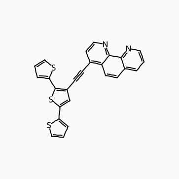 C(#Cc1ccnc2c1ccc1cccnc12)c1cc(-c2cccs2)sc1-c1cccs1